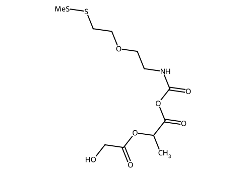 CSSCCOCCNC(=O)OC(=O)C(C)OC(=O)CO